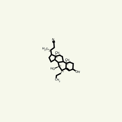 CCC[C@H]1C2=CC(O)CC[C@]2(C)C2CC[C@@]3(C)C(CCC3[C@H](C)CC#N)C2[C@@H]1O